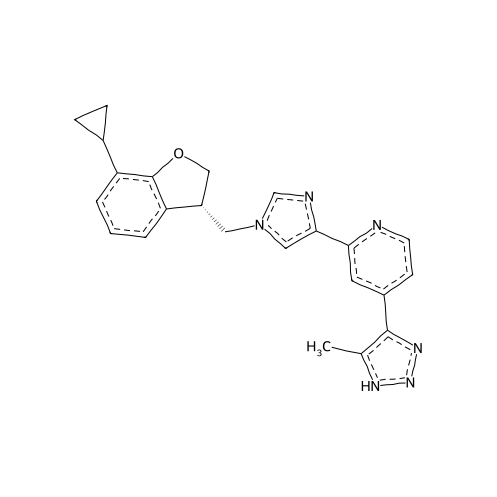 Cc1[nH]nnc1-c1ccnc(-c2cn(C[C@H]3COc4c(C5CC5)cccc43)cn2)c1